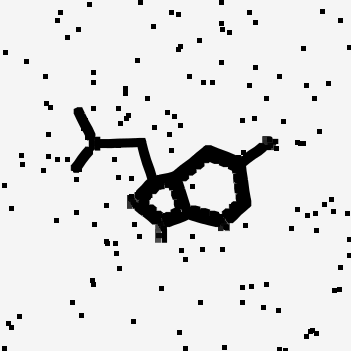 CN(C)Cc1n[nH]c2ncc(Br)cc12